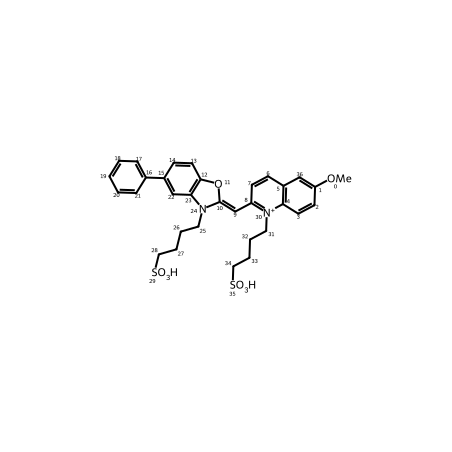 COc1ccc2c(ccc(/C=C3\Oc4ccc(-c5ccccc5)cc4N3CCCCS(=O)(=O)O)[n+]2CCCCS(=O)(=O)O)c1